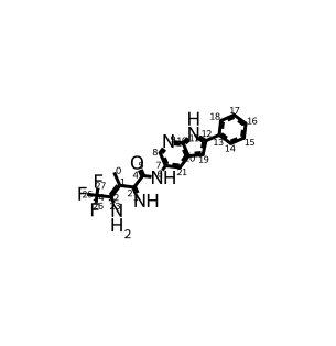 C/C(C(=N)C(=O)Nc1cnc2[nH]c(-c3ccccc3)cc2c1)=C(/N)C(F)(F)F